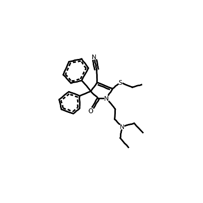 CCSC1=C(C#N)C(c2ccccc2)(c2ccccc2)C(=O)N1CCN(CC)CC